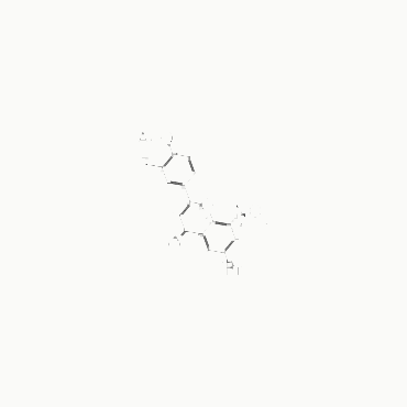 CC(=O)Oc1ccc(-c2cc(=O)c3cc(Br)cc([N+](=O)[O-])c3o2)cc1F